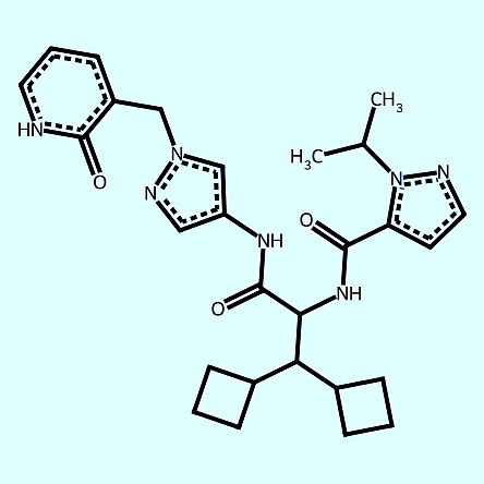 CC(C)n1nccc1C(=O)NC(C(=O)Nc1cnn(Cc2ccc[nH]c2=O)c1)C(C1CCC1)C1CCC1